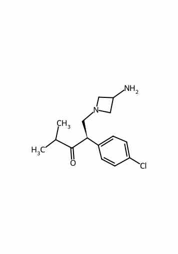 CC(C)C(=O)[C@@H](CN1CC(N)C1)c1ccc(Cl)cc1